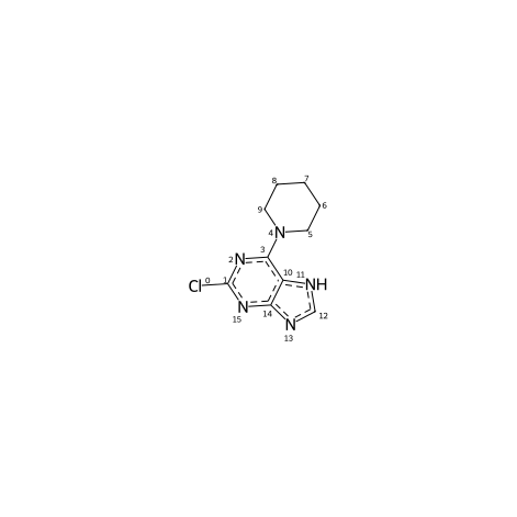 Clc1nc(N2CCCCC2)c2[nH]cnc2n1